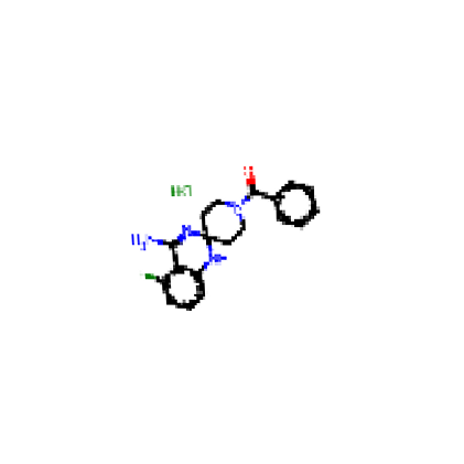 Cl.NC1=NC2(CCN(C(=O)c3ccccc3)CC2)Nc2cccc(F)c21